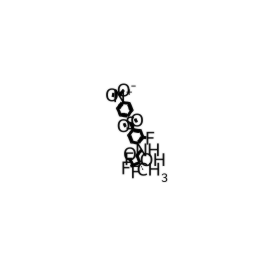 C[C@@](O)(C(=O)Nc1ccc(S(=O)(=O)c2ccc([N+](=O)[O-])cc2)cc1F)C(F)(F)F